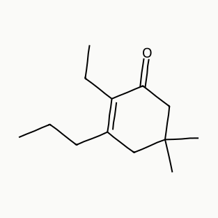 CCCC1=C(CC)C(=O)CC(C)(C)C1